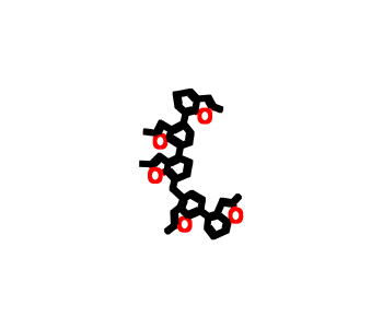 Cc1cc2c(-c3ccc(Cc4ccc(-c5ccc(-c6cccc7cc(C)oc67)c6cc(C)oc56)c5cc(C)oc45)c4cc(C)oc34)cccc2o1